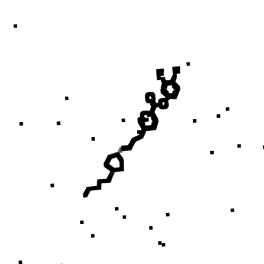 CCCCC[C@H]1CC[C@H](C=CCCc2ccc(C(=O)Oc3ccc(F)c(F)c3)cc2)CC1